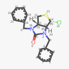 O=C1N(Cc2ccccc2)[C@@H]2[C@@H](CS[C@@H]2Cl)N1Cc1ccccc1